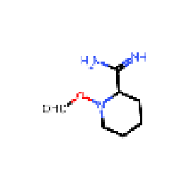 N=C(N)C1CCCCN1OC=O